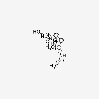 CCOC(=O)CNC1Cc2cc(-c3cccc(-c4cccc(-c5cnc(CN6CC(O)C6)c(OC)n5)c4Cl)c3Cl)cc(OC)c2C1